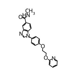 CNC(=O)c1ccc2c(c1)ncn2-c1ccc(OCCOc2ccccn2)cc1